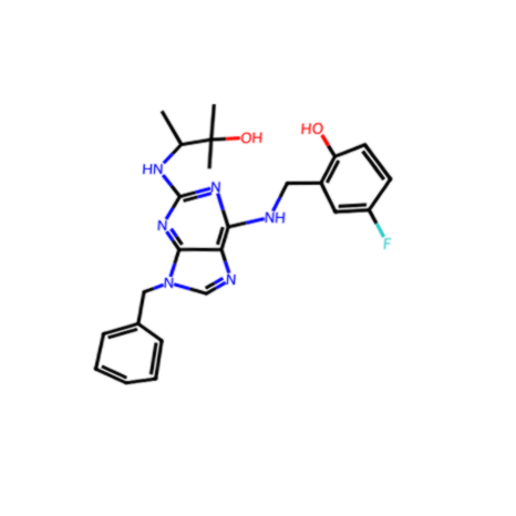 CC(Nc1nc(NCc2cc(F)ccc2O)c2ncn(Cc3ccccc3)c2n1)C(C)(C)O